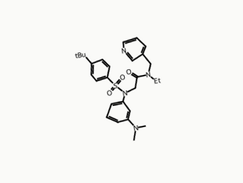 CCN(Cc1cccnc1)C(=O)CN(c1cccc(N(C)C)c1)S(=O)(=O)c1ccc(C(C)(C)C)cc1